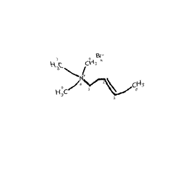 CC=CC[N+](C)(C)C.[Br-]